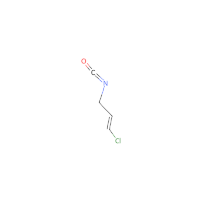 O=C=NCC=CCl